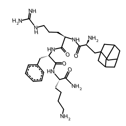 N=C(N)NCCC[C@@H](NC(=O)[C@@H](N)CC12CC3CC(CC(C3)C1)C2)C(=O)N[C@@H](Cc1ccccc1)C(=O)N[C@@H](CCCCN)C(N)=O